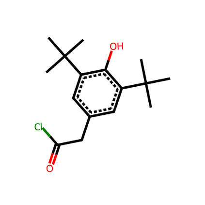 CC(C)(C)c1cc(CC(=O)Cl)cc(C(C)(C)C)c1O